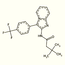 CC(C)(C)CC(=O)Nc1nc2ccccn2c1-c1ccc(C(F)(F)F)cc1